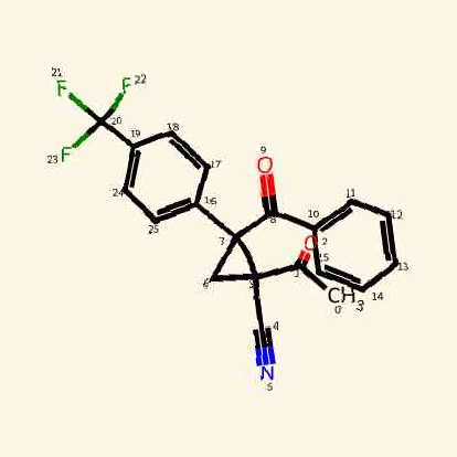 CC(=O)C1(C#N)CC1(C(=O)c1ccccc1)c1ccc(C(F)(F)F)cc1